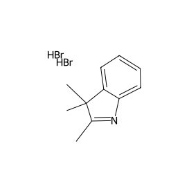 Br.Br.CC1=Nc2ccccc2C1(C)C